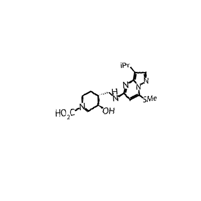 CSc1cc(NC[C@H]2CCN(C(=O)O)C[C@@H]2O)nc2c(C(C)C)cnn12